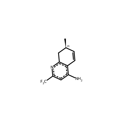 C[C@H]1C=Cc2c(N)cc(C(F)(F)F)nc2C1